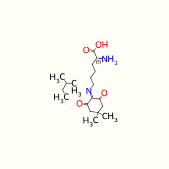 CC1(C)CC(=O)C(=NCCCC[C@H](N)C(=O)O)C(=O)C1.CCC(C)C